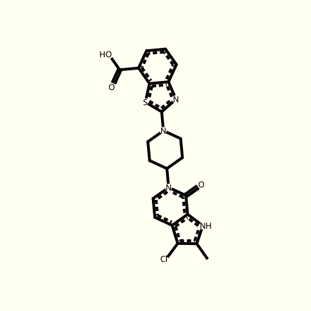 Cc1[nH]c2c(=O)n(C3CCN(c4nc5cccc(C(=O)O)c5s4)CC3)ccc2c1Cl